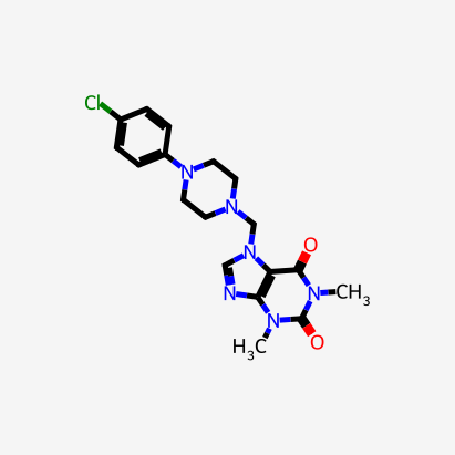 Cn1c(=O)c2c(ncn2CN2CCN(c3ccc(Cl)cc3)CC2)n(C)c1=O